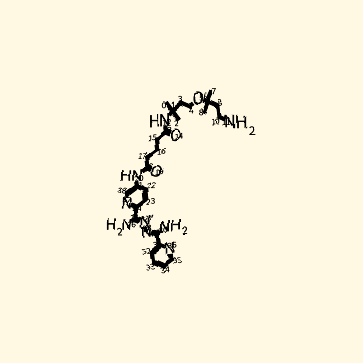 CC(C)(CCOC(C)(C)CCN)NC(=O)CCCC(=O)Nc1ccc(/C(N)=N/N=C(\N)c2ccccn2)nc1